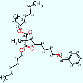 CCCCCCOC(=O)C(C)(CCCCCCOCc1ccccc1)C(=O)OC(CC)CCCCC